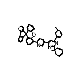 CC1C=CC=C(c2cc(-c3ccc(-c4cccc5c4Oc4ccccc4C54c5ccccc5-c5ccccc54)nc3)nc(C3(C)C=CC=CC3)n2)C1